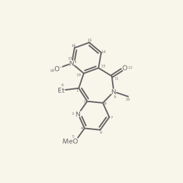 CCC1=C2N=C(OC)C=CC2N(C)C(=O)c2ccc[n+]([O-])c21